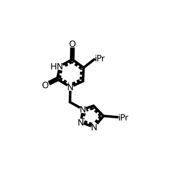 CC(C)c1cn(Cn2cc(C(C)C)c(=O)[nH]c2=O)nn1